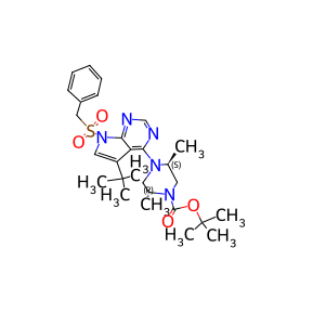 C[C@@H]1CN(c2ncnc3c2c(C(C)(C)C)cn3S(=O)(=O)Cc2ccccc2)[C@@H](C)CN1C(=O)OC(C)(C)C